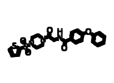 O=C(NCC(=O)N1CCN(S(=O)(=O)c2cccs2)CC1)c1ccc(Oc2ccccc2)cc1